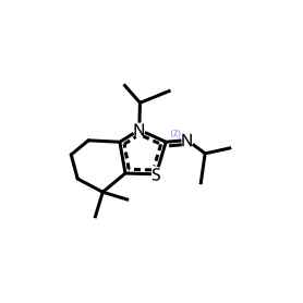 CC(C)/N=c1\sc2c(n1C(C)C)CCCC2(C)C